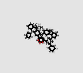 CC1(C)c2ccccc2N(c2ccccc2)c2cc3c4ccccc4n(-c4ccc5c(c4)-c4c(cccc4-c4nc(-c6ccccc6)nc(-c6ccccc6)n4)C5)c3cc21